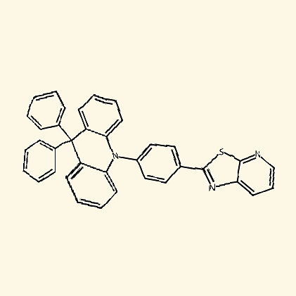 c1ccc(C2(c3ccccc3)c3ccccc3N(c3ccc(-c4nc5cccnc5s4)cc3)c3ccccc32)cc1